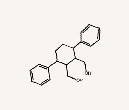 OCC1C(c2ccccc2)CCC(c2ccccc2)C1CO